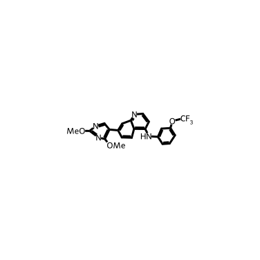 COc1ncc(-c2ccc3c(Nc4cccc(OC(F)(F)F)c4)ccnc3c2)c(OC)n1